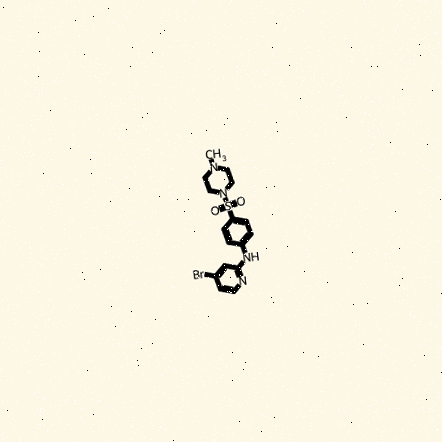 CN1CCN(S(=O)(=O)c2ccc(Nc3cc(Br)ccn3)cc2)CC1